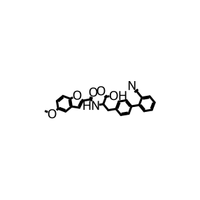 COc1ccc2oc(C(=O)NC(Cc3ccc(-c4ccccc4C#N)cc3)C(=O)O)cc2c1